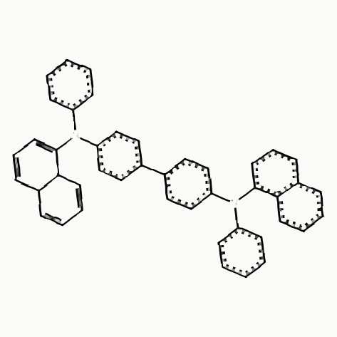 C1=CC2C=CC=C(N(c3ccccc3)c3ccc(-c4ccc(N(c5ccccc5)c5cccc6ccccc56)cc4)cc3)C2C=C1